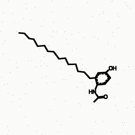 CCCCCCCCCCCCCCCc1cc(O)ccc1NC(C)=O